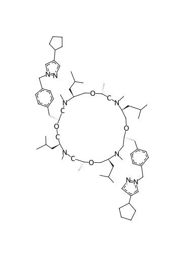 CC(C)C[C@H]1CO[C@H](C)CN(C)[C@@H](CC(C)C)CO[C@H](Cc2ccc(Cn3cc(C4CCCC4)cn3)cc2)CN(C)[C@@H](CC(C)C)CO[C@H](C)CN(C)[C@@H](CC(C)C)CO[C@H](Cc2ccc(Cn3cc(C4CCCC4)cn3)cc2)CN1C